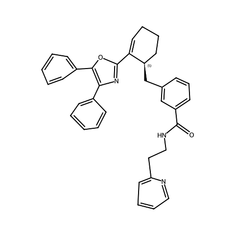 O=C(NCCc1ccccn1)c1cccc(C[C@@H]2CCCC=C2c2nc(-c3ccccc3)c(-c3ccccc3)o2)c1